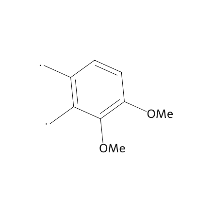 [CH2]c1ccc(OC)c(OC)c1[CH2]